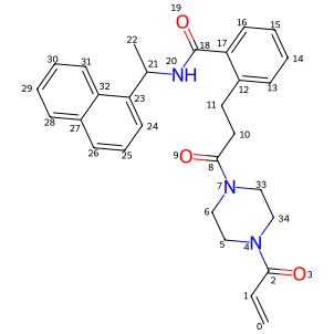 C=CC(=O)N1CCN(C(=O)CCc2ccccc2C(=O)NC(C)c2cccc3ccccc23)CC1